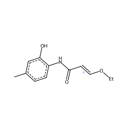 CCO/C=C/C(=O)Nc1ccc(C)cc1O